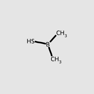 CB(C)S